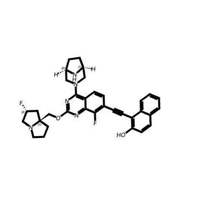 Oc1ccc2ccccc2c1C#Cc1ccc2c(N3C[C@H]4CC[C@@H](C3)N4)nc(OC[C@@]34CCCN3C[C@H](F)C4)nc2c1F